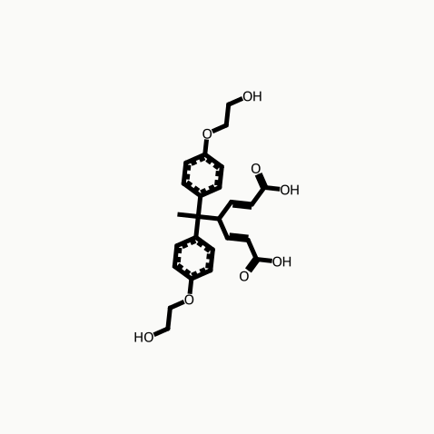 CC(c1ccc(OCCO)cc1)(c1ccc(OCCO)cc1)C(C=CC(=O)O)C=CC(=O)O